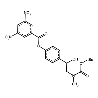 CN(CC(O)c1ccc(OC(=O)c2cc([N+](=O)[O-])cc([N+](=O)[O-])c2)cc1)C(=O)OC(C)(C)C